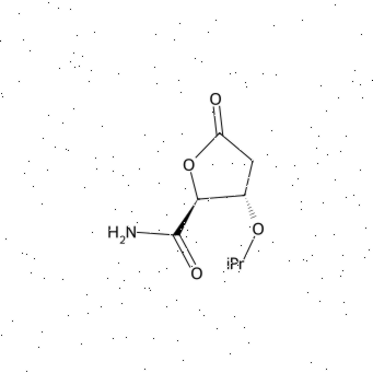 CC(C)O[C@H]1CC(=O)O[C@@H]1C(N)=O